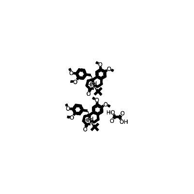 COc1ccc(C[C@@]2(CCC(=O)NC(C)(C)C)NCCc3cc(OC)c(OC)cc32)cc1OC.COc1ccc(C[C@@]2(CCC(=O)NC(C)(C)C)NCCc3cc(OC)c(OC)cc32)cc1OC.O=C(O)C(=O)O